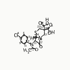 CC(=O)N(c1ccc(Cl)cc1)C1C(=O)N2CC(C(=O)O)(C(=O)O)CS[C@H]12